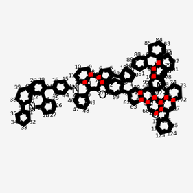 c1ccc(-c2ccc(-c3cccc(N(c4ccc(-c5ccccc5-c5ccccc5-n5c6ccccc6c6ccccc65)cc4)c4ccccc4-c4cccc5c4oc4cc(-c6ccc(-c7cccc(-c8ccccc8N(c8ccc(-c9ccccc9-c9ccccc9-n9c%10ccccc%10c%10ccccc%109)cc8)c8ccccc8-c8cccc9c8oc8ccccc89)c7)cc6)ccc45)c3)cc2)cc1